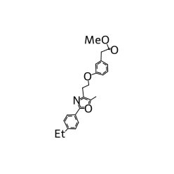 CCc1ccc(-c2nc(CCOc3cccc(CC(=O)OC)c3)c(C)o2)cc1